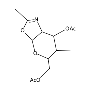 CC(=O)OCC1OC2OC(C)=NC2C(OC(C)=O)C1C